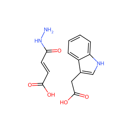 NNC(=O)C=CC(=O)O.O=C(O)Cc1c[nH]c2ccccc12